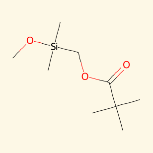 CO[Si](C)(C)COC(=O)C(C)(C)C